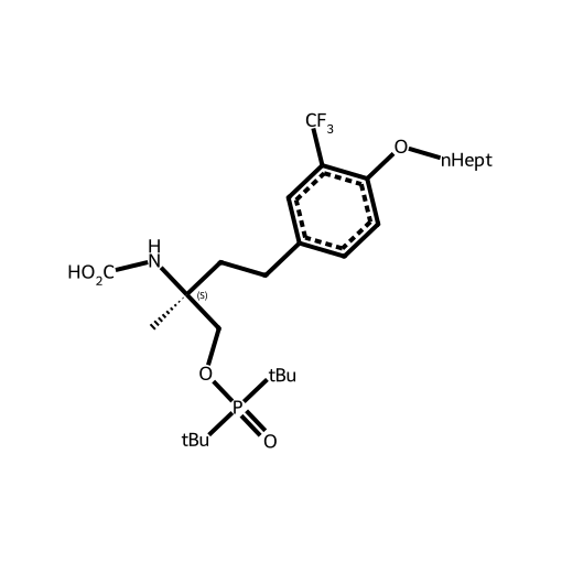 CCCCCCCOc1ccc(CC[C@@](C)(COP(=O)(C(C)(C)C)C(C)(C)C)NC(=O)O)cc1C(F)(F)F